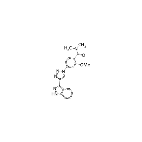 COc1cc(-n2cc(-c3n[nH]c4ccccc34)nn2)ccc1C(=O)N(C)C